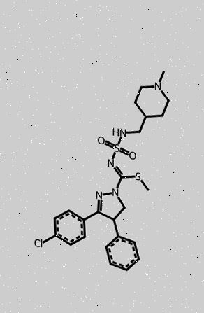 CS/C(=N\S(=O)(=O)NCC1CCN(C)CC1)N1CC(c2ccccc2)C(c2ccc(Cl)cc2)=N1